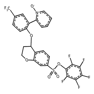 O=S(=O)(Oc1c(F)c(F)c(F)c(F)c1F)c1ccc2c(c1)OCCC2Oc1ccc(C(F)(F)F)cc1-c1cccc[n+]1[O-]